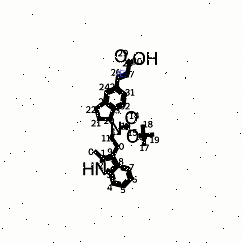 Cc1[nH]c2ccccc2c1CCN(C(=O)OC(C)(C)C)C1CCc2cc(/C=C/C(=O)O)ccc21